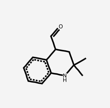 CC1(C)CC(C=O)c2ccccc2N1